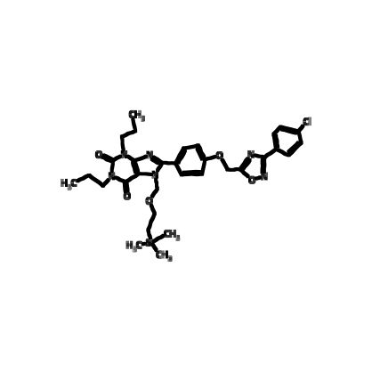 CCCn1c(=O)c2c(nc(-c3ccc(OCc4nc(-c5ccc(Cl)cc5)no4)cc3)n2COCC[Si](C)(C)C)n(CCC)c1=O